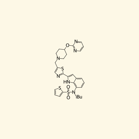 CCC(C)N(c1cccc2cc(-c3ncc(CN4CCC(Oc5ncccn5)CC4)s3)[nH]c12)S(=O)(=O)c1cccs1